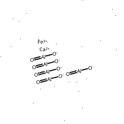 [Ca+2].[Fe+3].[O]=[Al][O-].[O]=[Al][O-].[O]=[Al][O-].[O]=[Al][O-].[O]=[Al][O-]